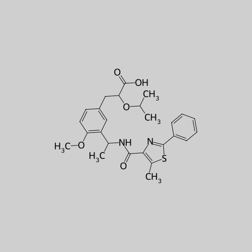 COc1ccc(CC(OC(C)C)C(=O)O)cc1C(C)NC(=O)c1nc(-c2ccccc2)sc1C